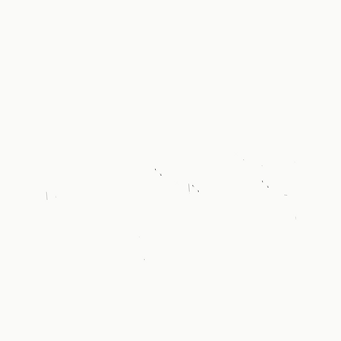 Cc1ccc(C(=O)c2ccc(NCCCN3C(=O)c4cccc5cccc(c45)C3=O)c(N)c2)cc1